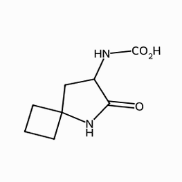 O=C(O)NC1CC2(CCC2)NC1=O